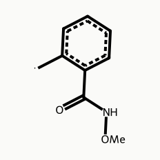 [CH2]c1ccccc1C(=O)NOC